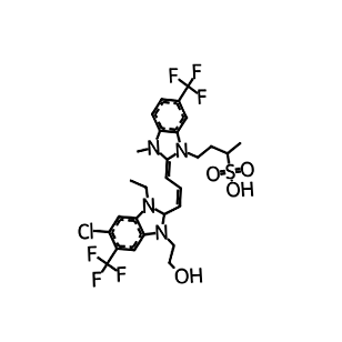 CCN1c2cc(Cl)c(C(F)(F)F)cc2N(CCO)C1/C=C\C=C1\N(C)c2ccc(C(F)(F)F)cc2N1CCC(C)S(=O)(=O)O